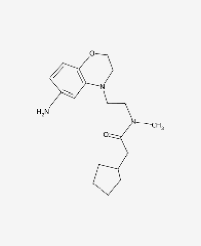 CN(CCN1CCOc2ccc(N)cc21)C(=O)CC1CCCC1